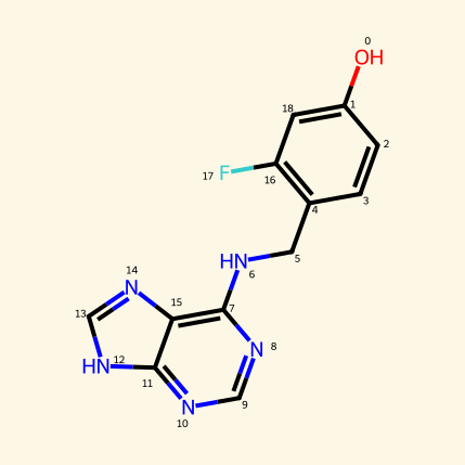 Oc1ccc(CNc2ncnc3[nH]cnc23)c(F)c1